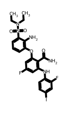 CCN(CC)S(=O)(=O)c1cccc(Oc2cc(F)cc(Nc3ccc(I)cc3F)c2C(N)=O)c1N